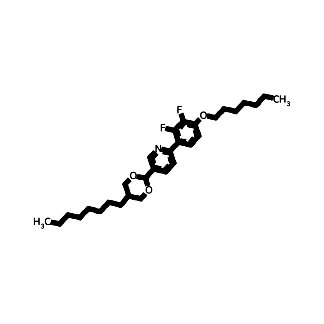 CCCCCCCCC1COC(c2ccc(-c3ccc(OCCCCCCC)c(F)c3F)nc2)OC1